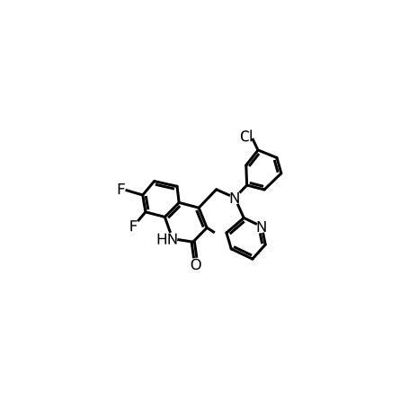 Cc1c(CN(c2cccc(Cl)c2)c2ccccn2)c2ccc(F)c(F)c2[nH]c1=O